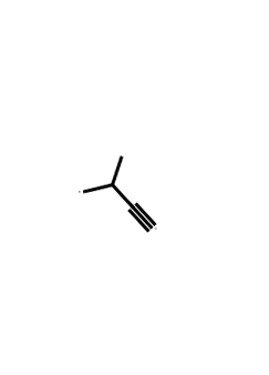 [C]#CC([CH2])C